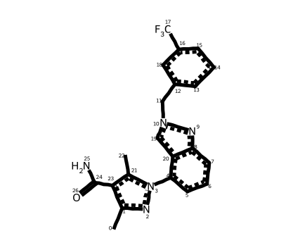 Cc1nn(-c2cccc3nn(Cc4cccc(C(F)(F)F)c4)cc23)c(C)c1C(N)=O